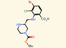 CC(C)(C)OC(=O)N1CCN[C@@H](CNc2c(C(=O)O)ccc(Br)c2Cl)C1